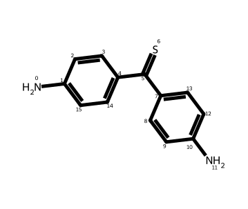 Nc1ccc(C(=S)c2ccc(N)cc2)cc1